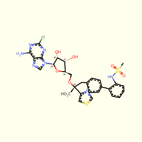 CS(=O)(=O)Nc1ccccc1-c1ccc(C[C@](OC[C@H]2O[C@@H](n3cnc4c(N)nc(Cl)nc43)[C@H](O)[C@@H]2O)(C(=O)O)c2cscn2)cc1